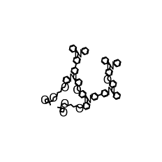 CC1(COCCCCOc2cccc(N(c3ccc(Oc4cccc(N(c5ccc(-c6ccc(N(c7ccccc7)c7ccccc7)cc6)cc5)c5cccc(OCCCCOCC6(C)COC6)c5)c4)cc3)c3ccc(-c4ccc(N(c5ccccc5)c5cccc(Oc6ccc(N(c7ccccc7)c7ccccc7)cc6)c5)cc4)cc3)c2)COC1